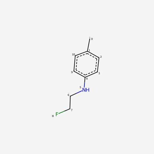 [CH2]c1ccc(NCCF)cc1